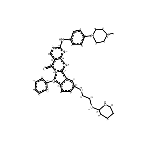 CN1CCN(c2ccc(Nc3ncc4c(=O)n5c(nc4n3)c3cc(OCCOC4CCCCO4)ccc3n5-c3ccccn3)cc2)CC1